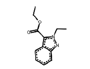 CCOC(=O)c1c2ccccc2nn1CC